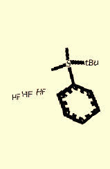 CC(C)(C)S(C)(C)c1ccccc1.F.F.F